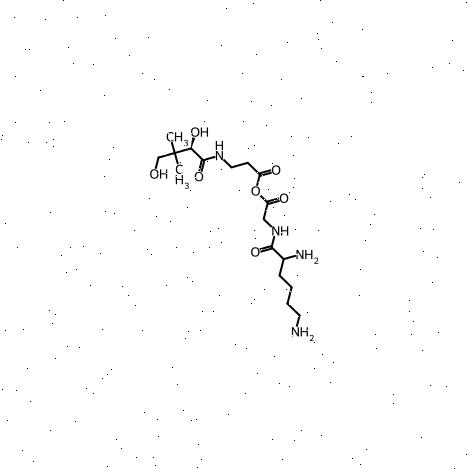 CC(C)(CO)[C@@H](O)C(=O)NCCC(=O)OC(=O)CNC(=O)C(N)CCCCN